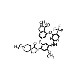 COc1cc(N2CCC3(CCN(C)CC3)C2=O)c(F)cc1Nc1ncc(C(F)(F)F)c(Oc2cccc3c2C(=O)N(C)C3)n1